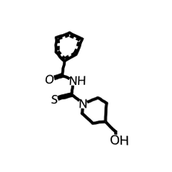 O=C(NC(=S)N1CCC(CO)CC1)c1ccccc1